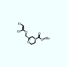 CC/C=C(\CC)OC[C@H]1CN(C(=O)OC(C)(C)C)CCO1